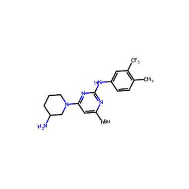 CCCCc1cc(N2CCCC(N)C2)nc(Nc2ccc(C)c(C(F)(F)F)c2)n1